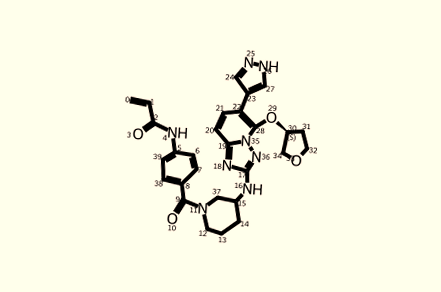 C=CC(=O)Nc1ccc(C(=O)N2CCCC(Nc3nc4ccc(-c5cn[nH]c5)c(O[C@H]5CCOC5)n4n3)C2)cc1